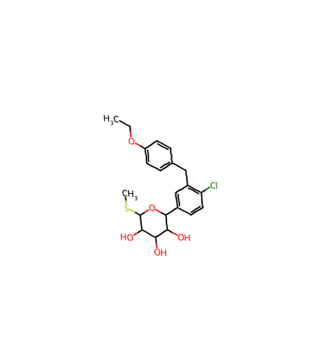 CCOc1ccc(Cc2cc(C3OC(SC)C(O)C(O)C3O)ccc2Cl)cc1